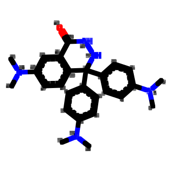 CN(C)c1ccc(C2(c3ccc(N(C)C)cc3)NNC(=O)c3cc(N(C)C)ccc32)cc1